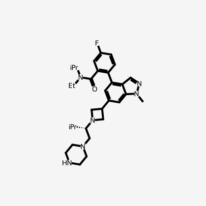 CCN(C(=O)c1cc(F)ccc1-c1cc(C2CN([C@H](CN3CCNCC3)C(C)C)C2)cc2c1cnn2C)C(C)C